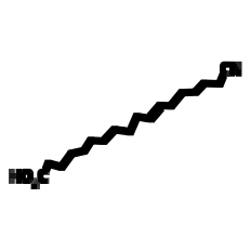 N#CCCCCCC=CCCCCCCCCCC(=O)O